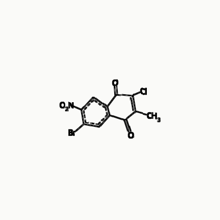 CC1=C(Cl)C(=O)c2cc([N+](=O)[O-])c(Br)cc2C1=O